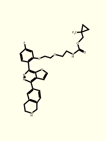 O=C(NCCOCCOc1cc(F)ccc1-c1nnc(-c2ccc3c(c2)CCNC3)c2ccsc12)OCC1(C(F)(F)F)CC1